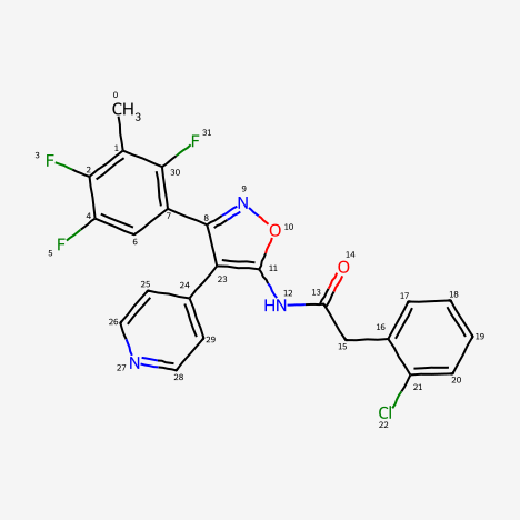 Cc1c(F)c(F)cc(-c2noc(NC(=O)Cc3ccccc3Cl)c2-c2ccncc2)c1F